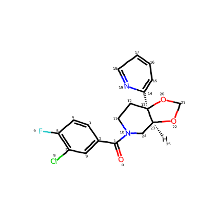 O=C(c1ccc(F)c(Cl)c1)N1CC[C@@]2(c3ccccn3)OCO[C@H]2C1